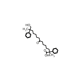 CC(CO)(CCCCCC(=O)CCCCCC(C)(C(=O)O)c1ccccc1)c1ccccc1